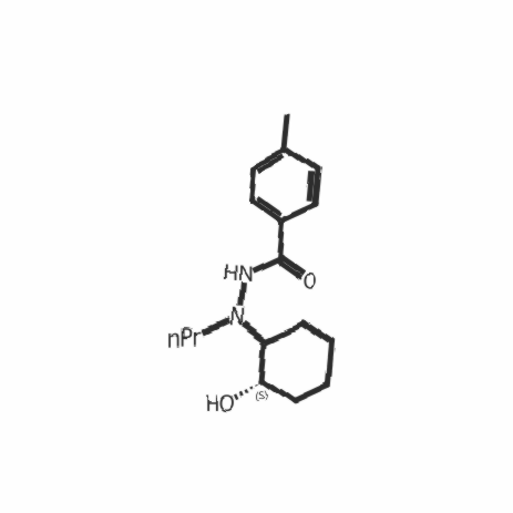 CCCN(NC(=O)c1ccc(C)cc1)C1CCCC[C@@H]1O